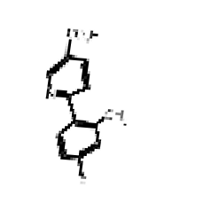 Cc1cc(F)ccc1-c1ccc(C(=O)O)cn1